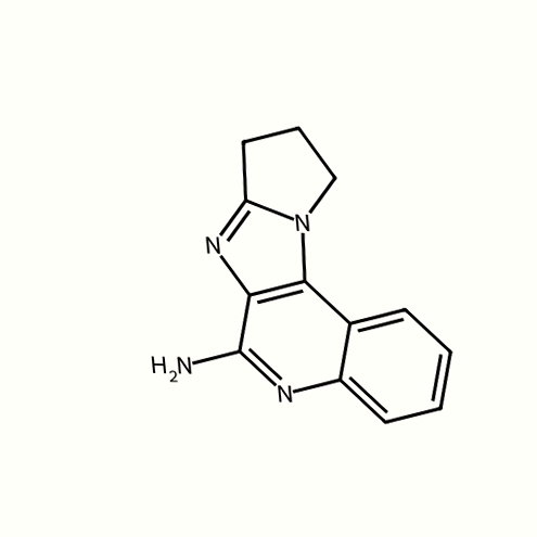 Nc1nc2ccccc2c2c1nc1n2CCC1